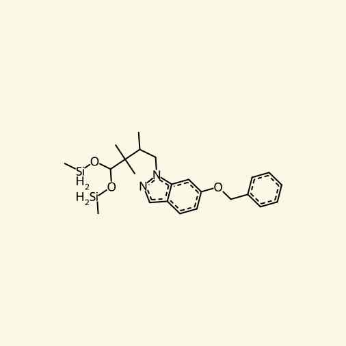 C[SiH2]OC(O[SiH2]C)C(C)(C)C(C)Cn1ncc2ccc(OCc3ccccc3)cc21